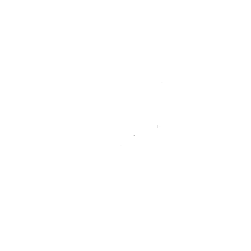 N#Cc1cn2nc(CO)ccc2n1